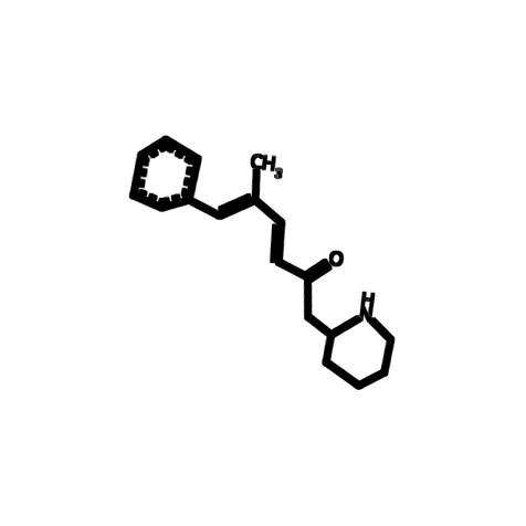 CC(C=CC(=O)CC1CCCCN1)=Cc1ccccc1